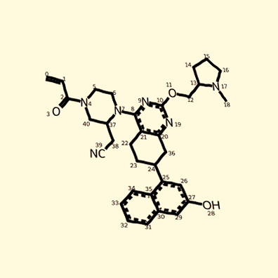 C=CC(=O)N1CCN(c2nc(OCC3CCCN3C)nc3c2CCC(c2cc(O)cc4ccccc24)C3)C(CC#N)C1